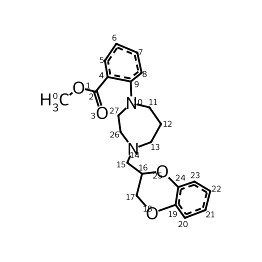 COC(=O)c1ccccc1N1CCCN(CC2COc3ccccc3O2)CC1